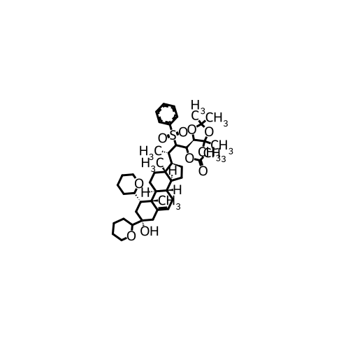 CC(=O)OC(C([C@@H](C)[C@H]1CC[C@H]2[C@@H]3CC=C4C[C@@](O)(C5CCCCO5)C[C@H](C5CCCCO5)[C@]4(C)[C@H]3CC[C@]12C)S(=O)(=O)c1ccccc1)[C@H]1OC(C)(C)OC1(C)C